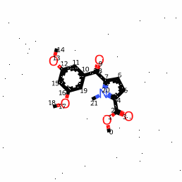 COC(=O)c1ccc(C(=O)c2cc(OC)cc(OC)c2)n1C